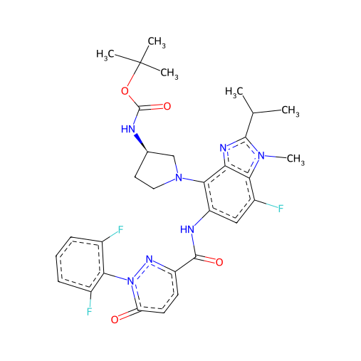 CC(C)c1nc2c(N3CC[C@@H](NC(=O)OC(C)(C)C)C3)c(NC(=O)c3ccc(=O)n(-c4c(F)cccc4F)n3)cc(F)c2n1C